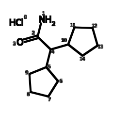 Cl.NC(=O)C(C1CCCC1)C1CCCC1